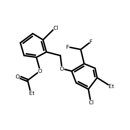 CCC(=O)Oc1cccc(Cl)c1COc1cc(Cl)c(CC)cc1C(F)F